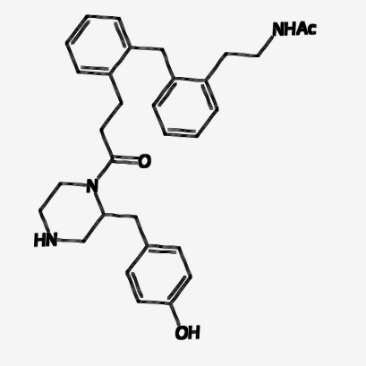 CC(=O)NCCc1ccccc1Cc1ccccc1CCC(=O)N1CCNCC1Cc1ccc(O)cc1